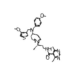 COc1ccc(N(Cc2cscc2OC)C2CCN([C@H](C)CCNC(=O)c3c(C)ncnc3C)CC2)cc1